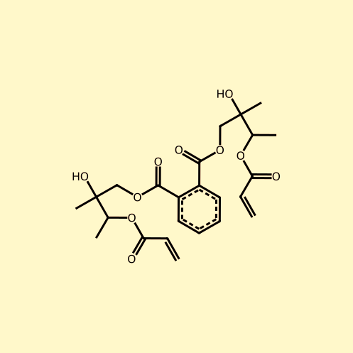 C=CC(=O)OC(C)C(C)(O)COC(=O)c1ccccc1C(=O)OCC(C)(O)C(C)OC(=O)C=C